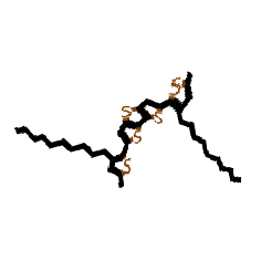 CCCCCCCCCCc1cc(C)sc1-c1cc2sc3cc(-c4sc(C)cc4CCCCCCCCCC)sc3c2s1